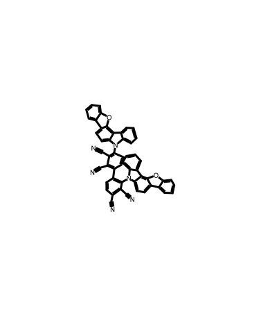 N#Cc1ccc(-c2ccc(-n3c4ccccc4c4c5oc6ccccc6c5ccc43)c(C#N)c2C#N)c(-n2c3ccccc3c3c4oc5ccccc5c4ccc32)c1C#N